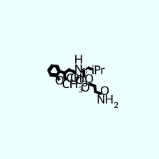 CC(C)C[C@H](NC(=O)CC1c2ccccc2OC1(C)C)C(=O)OC(=O)CCC(N)=O